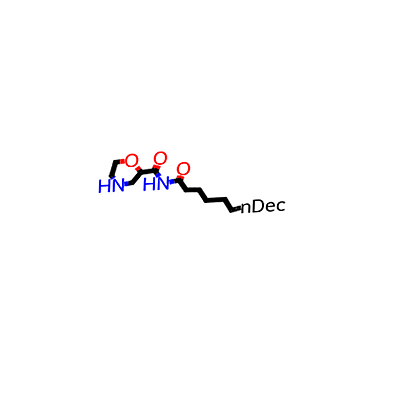 CCCCCCCCCCCCCCCC(=O)NC(=O)C1CNCCO1